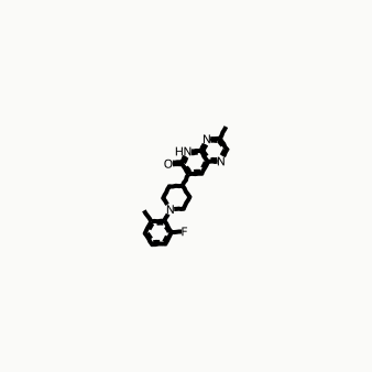 Cc1cnc2cc(C3CCN(c4c(C)cccc4F)CC3)c(=O)[nH]c2n1